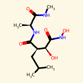 CNC(=O)[C@H](C)NC(=O)[C@H](CC(C)C)[C@H](O)C(=O)NO